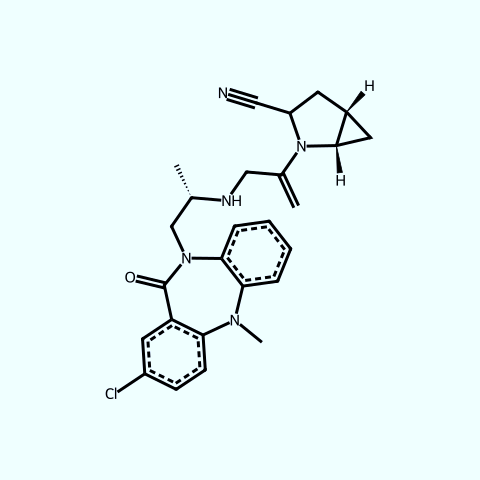 C=C(CN[C@@H](C)CN1C(=O)c2cc(Cl)ccc2N(C)c2ccccc21)N1C(C#N)C[C@@H]2C[C@@H]21